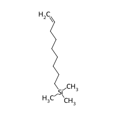 C=CCCCCCCC[Si](C)(C)C